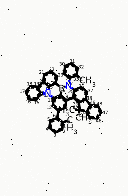 Cc1ccccc1-c1cc2c3c(c1)-n1c4ccccc4c4cccc(c41)B3N(c1ccccc1C)c1ccc3c(c1-2)C(C)(C)c1ccccc1-3